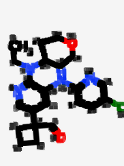 CCN(c1ncc(C2(C=O)CCC2)cc1Nc1ccc(Cl)cn1)C1CCOCC1